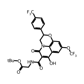 CC(C)(C)OC(=O)CNC(=O)c1c(O)c2cc(OC(F)(F)F)cc3c2n(c1=O)CC(c1ccc(C(F)(F)F)cc1)O3